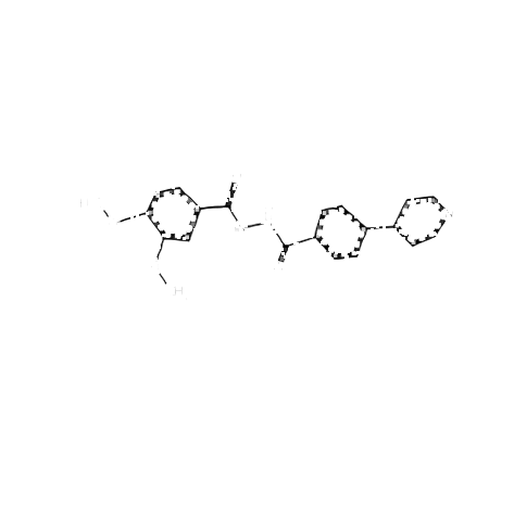 COc1ccc(C(=O)NNC(=O)c2ccc(-c3ccncc3)cc2)cc1OC